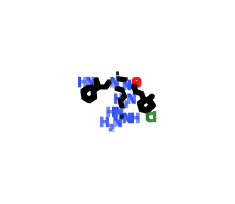 Cc1cc(Cl)ccc1C[C@@H](N)C(=O)N1C[C@@H](C)N(CCc2c[nH]c3ccccc23)C[C@@H]1CCCNC(=N)N